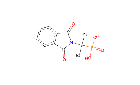 CCC(CC)(N1C(=O)c2ccccc2C1=O)P(=O)(O)O